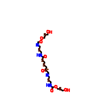 O=C(NCSC/N=C/[S+]([O-])CSCSC(=O)NCSC/N=C\OOCSCO)OCSCO